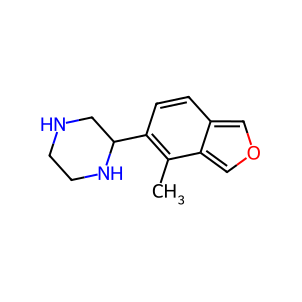 Cc1c(C2CNCCN2)ccc2cocc12